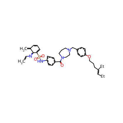 C=C/N=C1\C(=C)C=CC=C1S(=O)(=O)Nc1ccc(C(=O)N2CCCN(Cc3ccc(OCCC/C(=C/CC)CC)cc3)CC2)cc1